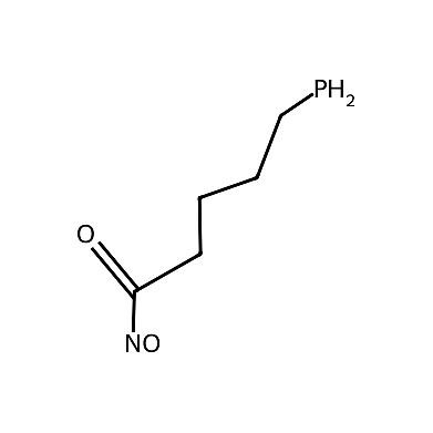 O=NC(=O)CCCCP